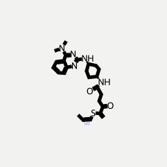 C=C(S/C=C\C)C(=O)CCC(=O)N[C@H]1CC[C@@H](Nc2nc(N(C)C)c3ccccc3n2)CC1